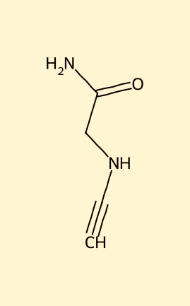 C#CNCC(N)=O